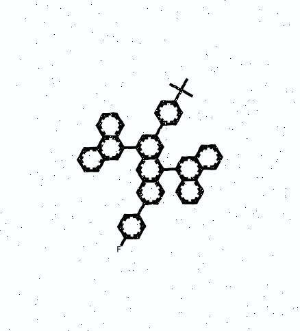 CC(C)(C)c1ccc(-c2cc(-c3cc4ccccc4c4ccccc34)c3cc4cc(-c5ccc(F)cc5)ccc4c(-c4cc5ccccc5c5ccccc45)c3c2)cc1